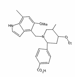 CCOC1CC(c2ccc(C(=O)O)cc2)N(Cc2c(OC)cc(C)c3[nH]ccc23)CC1C